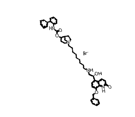 O=C(Nc1ccccc1-c1ccccc1)OC1CC[N+]2(CCCCCCCCCNC[C@H](O)c3ccc(OCc4ccccc4)c4[nH]c(=O)ccc34)CCC1C2.[Br-]